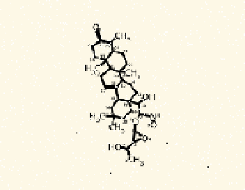 CC(O)C1OC1OC(N=O)C(O)C12CCC3C(=CCC4C3(C)CCC3C(C)C(=O)CCC34C)C1CC(C)(C)CC2